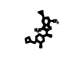 Cn1c(C(=O)N2CCN(CC3CCC3)C(=O)C2)nc2c(C(F)(F)F)cc(C3CC3)cc21